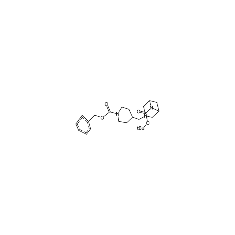 CC(C)(C)OC(=O)N1C2CC1CN(CC1CCN(C(=O)OCc3ccccc3)CC1)C2